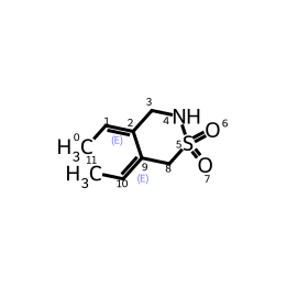 C/C=C1/CNS(=O)(=O)C/C1=C/C